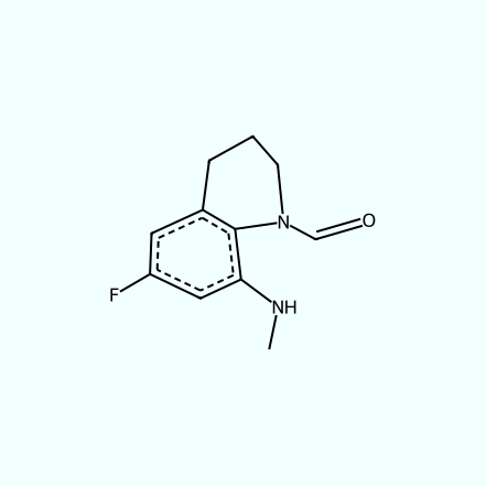 CNc1cc(F)cc2c1N(C=O)CCC2